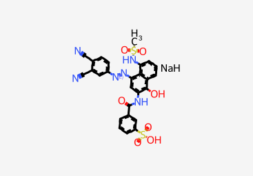 CS(=O)(=O)Nc1cccc2c(O)c(NC(=O)c3cccc(S(=O)(=O)O)c3)cc(/N=N/c3ccc(C#N)c(C#N)c3)c12.[NaH]